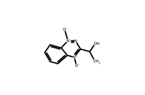 CC(O)c1n[n+]([O-])c2ccccc2[n+]1[O-]